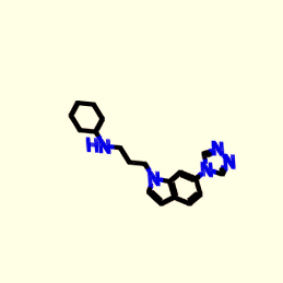 c1cc2ccn(CCCNC3CCCCC3)c2cc1-n1cnnc1